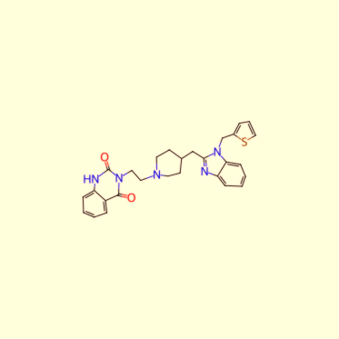 O=c1[nH]c2ccccc2c(=O)n1CCN1CCC(Cc2nc3ccccc3n2Cc2cccs2)CC1